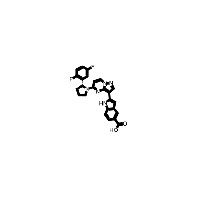 O=C(O)c1ccc2[nH]c(-c3cnn4ccc(N5CCC[C@@H]5c5cc(F)ccc5F)nc34)cc2c1